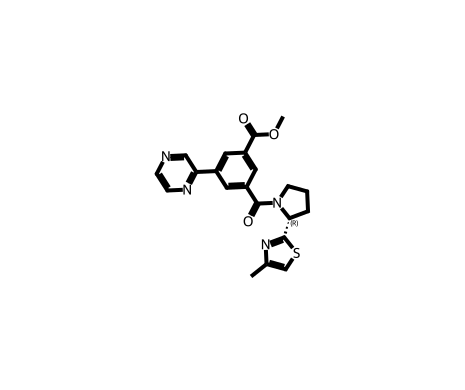 COC(=O)c1cc(C(=O)N2CCC[C@@H]2c2nc(C)cs2)cc(-c2cnccn2)c1